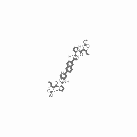 CC[C@@H](C)[C@H](NC(=O)OC)C(=O)N1CCC[C@H]1c1ncc(-c2ccc3cc(-c4cc5[nH]c([C@@H]6CCCN6C(=O)[C@@H](NC(=O)OC)[C@H](C)CC)nc5cn4)ccc3c2)[nH]1